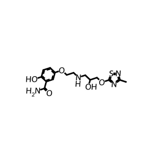 Cc1nsc(OCC(O)CNCCOc2ccc(O)c(C(N)=O)c2)n1